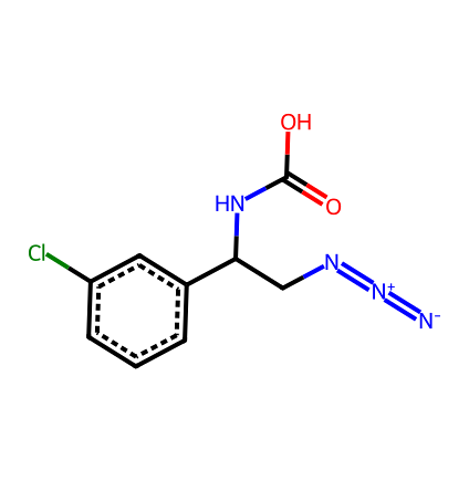 [N-]=[N+]=NCC(NC(=O)O)c1cccc(Cl)c1